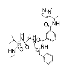 CCNC(=O)[C@@H](NC(=O)[C@H](C)NC[C@H](Cc1ccccc1)NC(=O)c1cccc(C(=O)NC(C)c2ccnn2C)c1)C(C)C